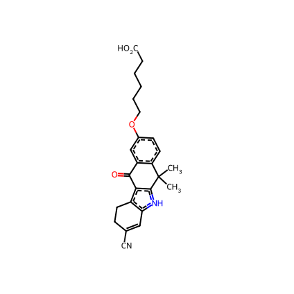 CC1(C)c2ccc(OCCCCCC(=O)O)cc2C(=O)c2c1[nH]c1c2CCC(C#N)=C1